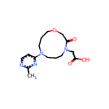 Cc1nccc(N2CCCOCC(=O)N(CC(=O)O)CCC2)n1